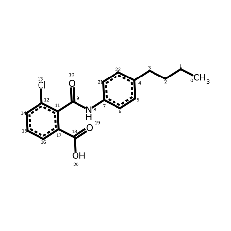 CCCCc1ccc(NC(=O)c2c(Cl)cccc2C(=O)O)cc1